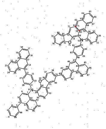 c1ccc(-c2ccc(N(c3ccc(-c4cc5ccccc5c5ccccc45)cc3)c3cccc4c3oc3ccc(-c5ccc6c(c5)cc(-c5ccc(N(c7ccccc7-c7cccc8ccccc78)c7cccc8c7oc7ccccc78)cc5)c5ccccc56)cc34)c3ccccc23)cc1